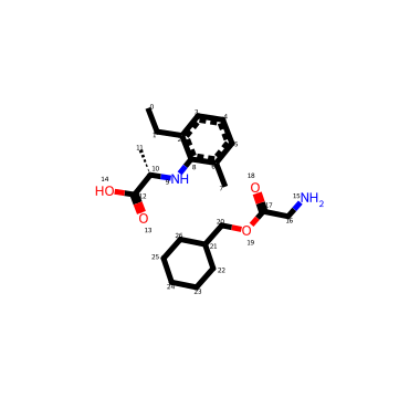 CCc1cccc(C)c1N[C@@H](C)C(=O)O.NCC(=O)OCC1CCCCC1